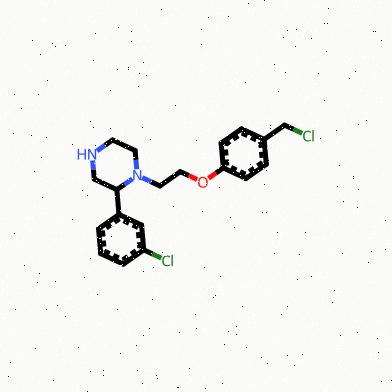 ClCc1ccc(OCCN2CCNCC2c2cccc(Cl)c2)cc1